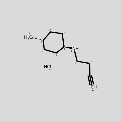 C#CCCN[C@H]1CC[C@H](C)CC1.Cl